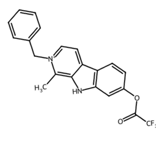 Cc1c2[nH]c3cc(OC(=O)C(F)(F)F)ccc3c2cc[n+]1Cc1ccccc1